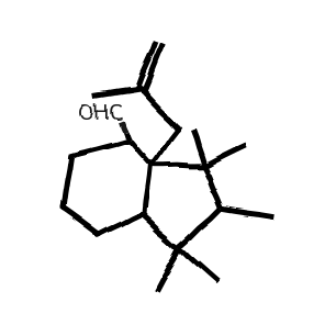 C=C(C)CC12C(C=O)CCCC1C(C)(C)C(C)C2(C)C